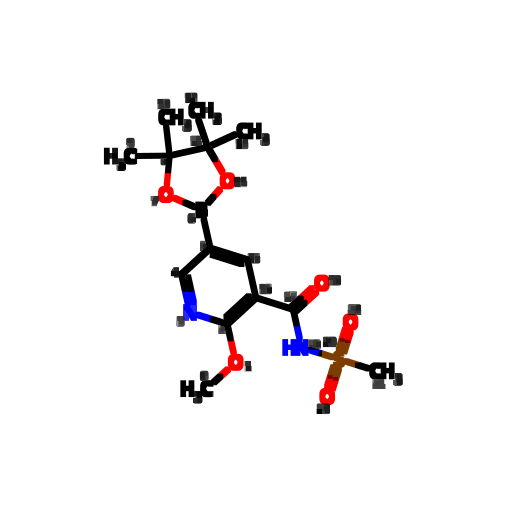 COc1ncc(B2OC(C)(C)C(C)(C)O2)cc1C(=O)NS(C)(=O)=O